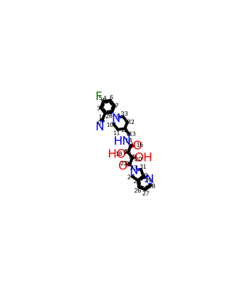 N#Cc1cc(F)ccc1N1CCC(CNC(=O)[C@H](O)[C@@H](O)C(=O)N2Cc3cccnc3C2)CC1